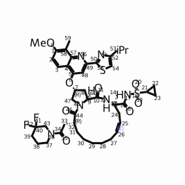 COc1ccc2c(O[C@@H]3C[C@H]4C(=O)N[C@@](C)(C(=O)NS(=O)(=O)C5CC5)C/C=C\CCCCC[C@H](CC(=O)N5CCCC(F)(F)C5)C(=O)N4C3)cc(-c3nc(C(C)C)cs3)nc2c1C